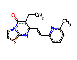 CCc1c(/C=C/c2cccc(C)n2)nc2sccn2c1=O